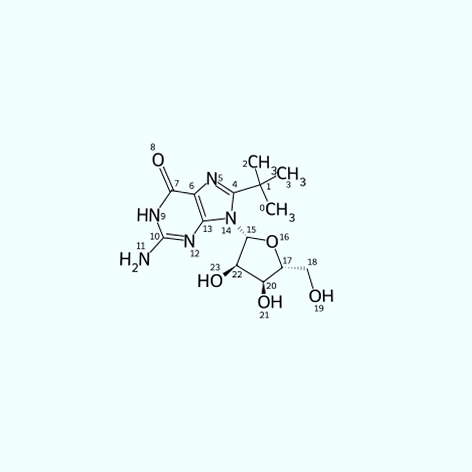 CC(C)(C)c1nc2c(=O)[nH]c(N)nc2n1[C@@H]1O[C@H](CO)[C@@H](O)[C@H]1O